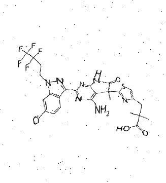 CC(C)(Cc1csc(C2(C)C(=O)Nc3nc(-c4nn(CCC(F)(F)C(F)(F)F)c5cc(Cl)ccc45)nc(N)c32)n1)C(=O)O